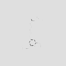 NOC(=O)CCCCCc1cc(CBr)nc(CBr)c1